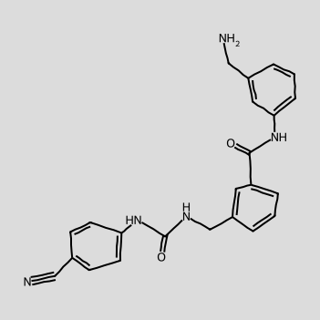 N#Cc1ccc(NC(=O)NCc2cccc(C(=O)Nc3cccc(CN)c3)c2)cc1